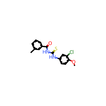 COc1ccc(NC(=S)NC(=O)c2cccc(C)c2)cc1Cl